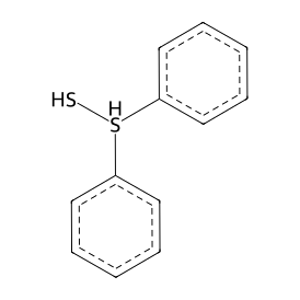 S[SH](c1ccccc1)c1ccccc1